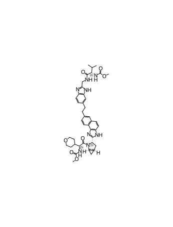 COC(=O)N[C@H](C(=O)NCc1nc2ccc(CCc3ccc4c(ccc5[nH]c([C@@H]6C[C@H]7C[C@H]7N6C(=O)[C@@H](NC(=O)OC)C6CCOCC6)nc54)c3)cc2[nH]1)C(C)C